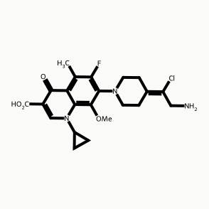 COc1c(N2CCC(=C(Cl)CN)CC2)c(F)c(C)c2c(=O)c(C(=O)O)cn(C3CC3)c12